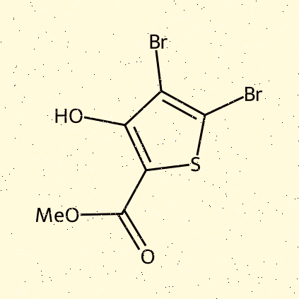 COC(=O)c1sc(Br)c(Br)c1O